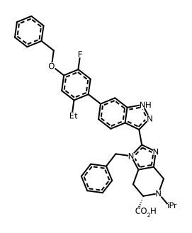 CCc1cc(OCc2ccccc2)c(F)cc1-c1ccc2c(-c3nc4c(n3Cc3ccccc3)C[C@@H](C(=O)O)N(C(C)C)C4)n[nH]c2c1